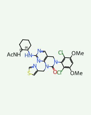 COc1cc(OC)c(Cl)c(N2Cc3cnc(N[C@@H]4CCCC[C@@H]4NC(C)=O)nc3N(Cc3cscn3)C2=O)c1Cl